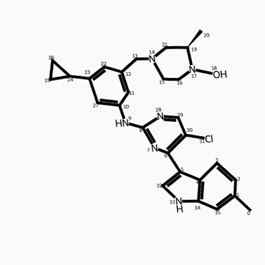 Cc1ccc2c(-c3nc(Nc4cc(CN5CCN(O)[C@H](C)C5)cc(C5CC5)c4)ncc3Cl)c[nH]c2c1